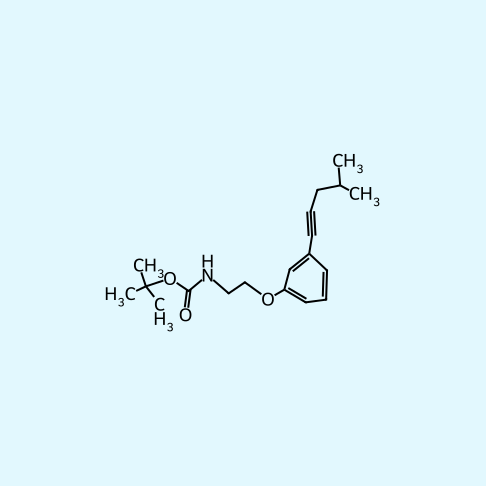 CC(C)CC#Cc1cccc(OCCNC(=O)OC(C)(C)C)c1